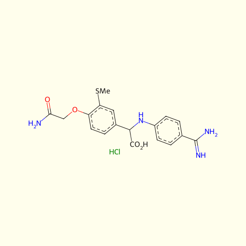 CSc1cc(C(Nc2ccc(C(=N)N)cc2)C(=O)O)ccc1OCC(N)=O.Cl